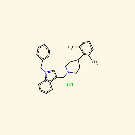 Cc1cccc(C)c1C1CCN(Cc2cn(Cc3ccccc3)c3ccccc23)CC1.Cl